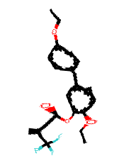 C=C(C(=O)Oc1cc(-c2ccc(OCC)cc2)ccc1OCC)C(F)(F)F